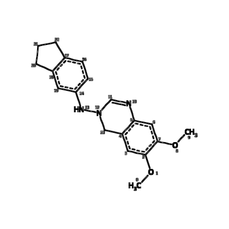 COc1cc2c(cc1OC)N=CN(Nc1ccc3c(c1)CCC3)C2